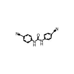 N#Cc1ccc(NC(=O)Nc2ccc(C#N)cc2)cc1